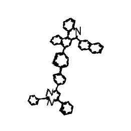 c1ccc(-c2cc(-c3ccc(-c4ccc(-c5cc6c(-c7ccc8ccccc8c7)nc7ccccc7c6c6ccccc56)cc4)cc3)nc(-c3ccccc3)n2)cc1